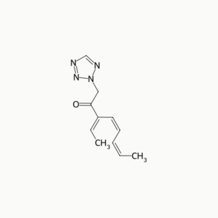 C\C=C/C=C\C(=C/C)C(=O)Cn1ncnn1